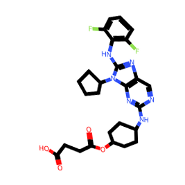 O=C(O)CCC(=O)OC1CCC(Nc2ncc3nc(Nc4c(F)cccc4F)n(C4CCCC4)c3n2)CC1